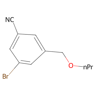 CCCOCc1cc(Br)cc(C#N)c1